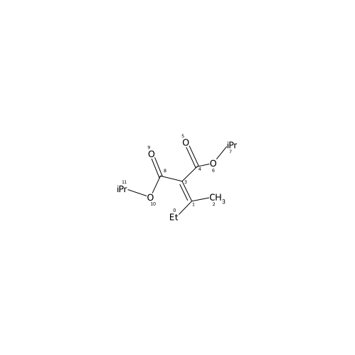 CCC(C)=C(C(=O)OC(C)C)C(=O)OC(C)C